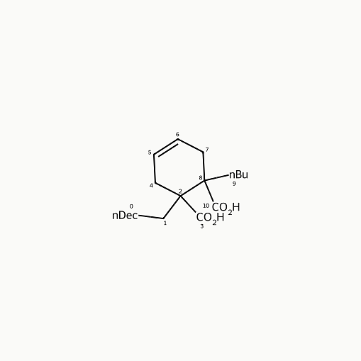 CCCCCCCCCCCC1(C(=O)O)CC=CCC1(CCCC)C(=O)O